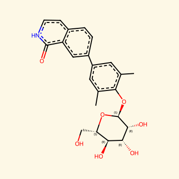 Cc1cc(-c2ccc3cc[nH]c(=O)c3c2)cc(C)c1O[C@@H]1O[C@@H](CO)[C@H](O)[C@@H](O)[C@H]1O